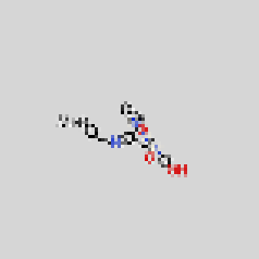 COc1ccc(CCCN2Cc3cc(C(=O)N4Cc5ccccc5C[C@H]4C)c(-c4cc(C(=O)N(C)c5ccc(O)cc5)c(C)n4C)cc3C2)cc1